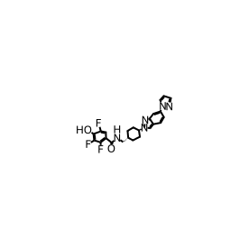 O=C(NC[C@H]1CC[C@H](n2cc3ccc(-n4cccn4)cc3n2)CC1)c1cc(F)c(O)c(F)c1F